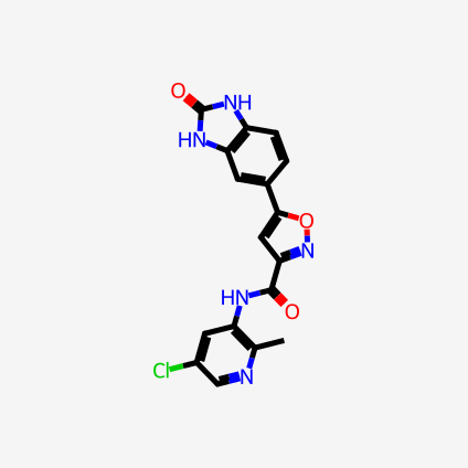 Cc1ncc(Cl)cc1NC(=O)c1cc(-c2ccc3[nH]c(=O)[nH]c3c2)on1